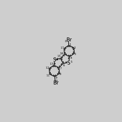 Brc1ccc2sc3c4cc(Br)ccc4sc3c2c1